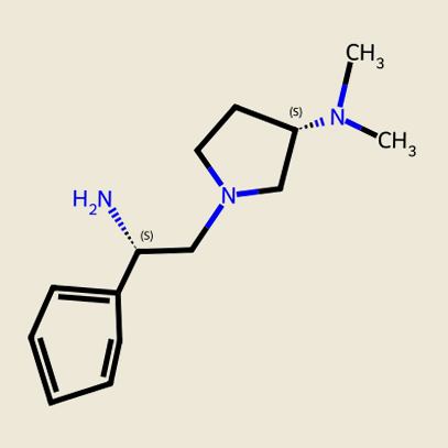 CN(C)[C@H]1CCN(C[C@@H](N)c2ccccc2)C1